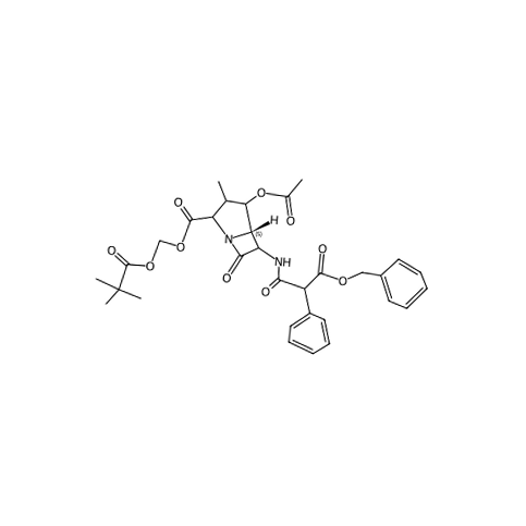 CC(=O)OC1C(C)C(C(=O)OCOC(=O)C(C)(C)C)N2C(=O)C(NC(=O)C(C(=O)OCc3ccccc3)c3ccccc3)[C@@H]12